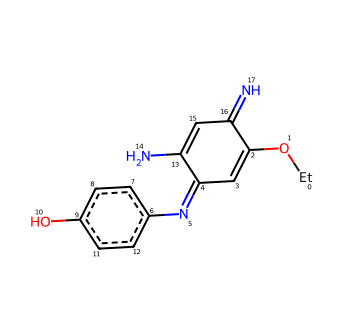 CCOC1=C/C(=N/c2ccc(O)cc2)C(N)=CC1=N